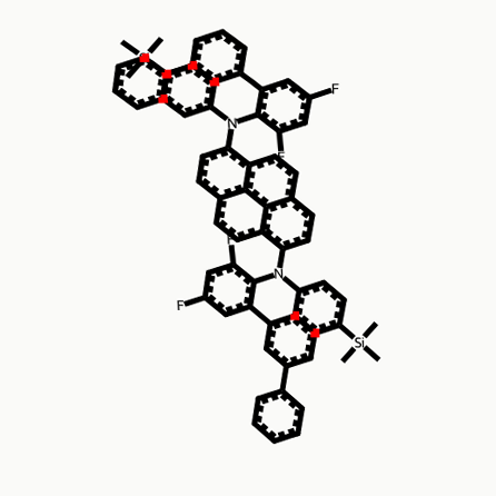 C[Si](C)(C)c1ccc(N(c2c(F)cc(F)cc2-c2cccc(-c3ccccc3)c2)c2ccc3ccc4c(N(c5ccc([Si](C)(C)C)cc5)c5c(F)cc(F)cc5-c5cccc(-c6ccccc6)c5)ccc5ccc2c3c54)cc1